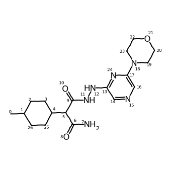 CC1CCC(C(C(N)=O)C(=O)NNc2cncc(N3CCOCC3)n2)CC1